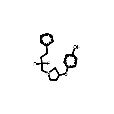 Oc1ccc(SC2CCN(CC(F)(F)CCc3ccccc3)C2)cc1